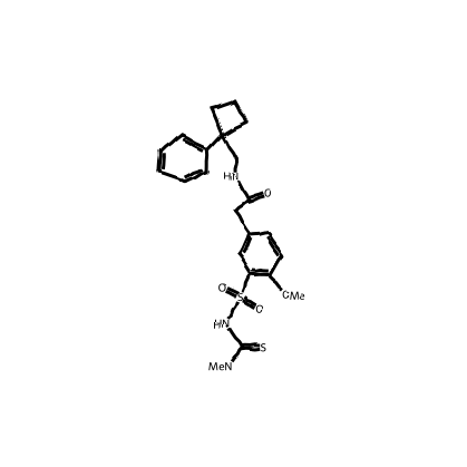 CNC(=S)NS(=O)(=O)c1cc(CC(=O)NCC2(c3ccccc3)CCC2)ccc1OC